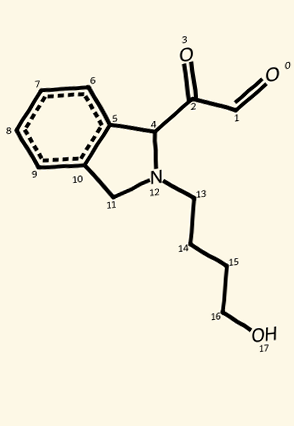 O=CC(=O)C1c2ccccc2CN1CCCCO